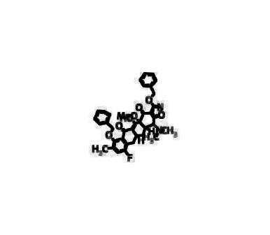 CO[C@@]12C(=O)c3c(OCc4ccccc4)noc3[C@@H](N(C)C)[C@@H]1C[C@@H]1Cc3c(F)cc(C)c(OCc4ccccc4)c3C(=O)C1=C2O